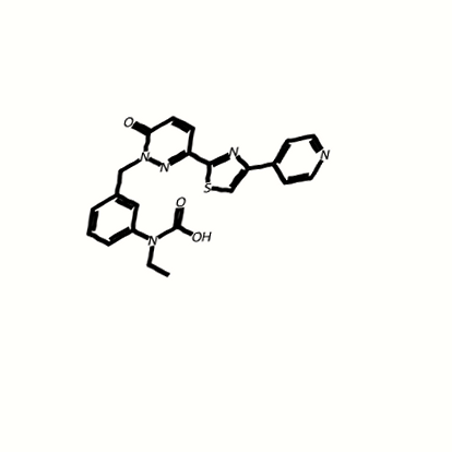 CCN(C(=O)O)c1cccc(Cn2nc(-c3nc(-c4ccncc4)cs3)ccc2=O)c1